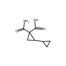 NC(=O)C1(C(=O)O)CC1C1CC1